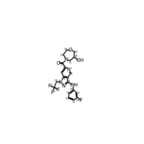 O=C(c1cc2c(cn1)c(Nc1cccc(F)c1)nn2CC(F)(F)F)N1CCOCC(O)C1